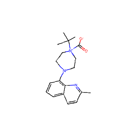 Cc1ccc2cccc(N3CC[N+](C(=O)[O-])(C(C)(C)C)CC3)c2n1